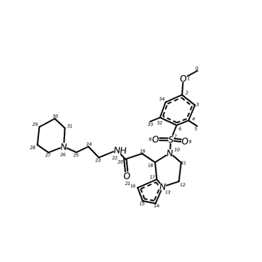 COc1cc(C)c(S(=O)(=O)N2CCn3cccc3C2CC(=O)NCCCN2CCCCC2)c(C)c1